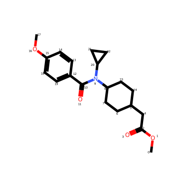 COC(=O)CC1CCC(N(C(=O)c2ccc(OC)cc2)C2CC2)CC1